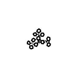 c1ccc([Si](c2ccccc2)(c2ccccc2)c2cccc(-n3c4ccc(-n5c6ccccc6c6ccccc65)cc4c4cc([Si](c5ccccc5)(c5ccccc5)c5ccccc5)ccc43)c2)cc1